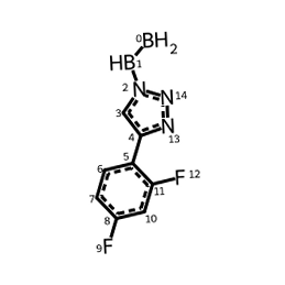 BBn1cc(-c2ccc(F)cc2F)nn1